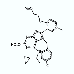 COCCOc1ccc(C)cc1-c1nc2nc(C(=O)O)nc(NC(C)C3CC3)c2n1Cc1ccc(Cl)cc1